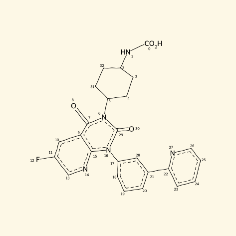 O=C(O)NC1CCC(n2c(=O)c3cc(F)cnc3n(-c3cccc(-c4ccccn4)c3)c2=O)CC1